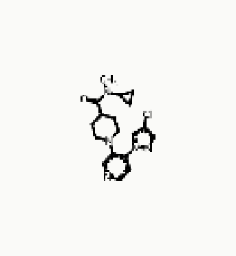 CN(C(=O)C1CCN(c2cnccc2-n2cc(Cl)cn2)CC1)C1CC1